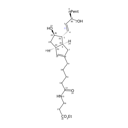 CCCCC[C@@H](O)/C=C/[C@@H]1[C@H]2CC(CCCCC(=O)NCCC(=O)OCC)=C[C@H]2C[C@H]1O